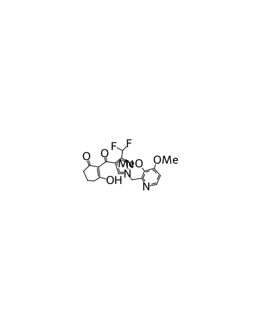 COc1ccnc(Cn2cc(C(=O)C3=C(O)CCCC3=O)c(C(F)F)n2)c1OC